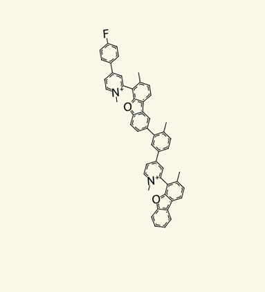 Cc1ccc(-c2cc[n+](C)c(-c3c(C)ccc4c3oc3ccccc34)c2)cc1-c1ccc2oc3c(-c4cc(-c5ccc(F)cc5)cc[n+]4C)c(C)ccc3c2c1